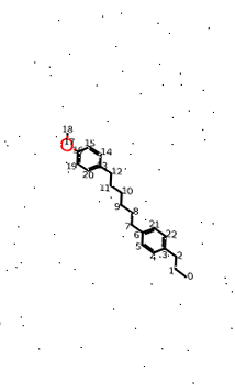 CCCc1ccc(CCCCCCc2ccc(OC)cc2)cc1